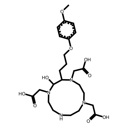 COc1ccc(OCCCC2C(O)N(CC(=O)O)CCNCCN(CC(=O)O)CCN2CC(=O)O)cc1